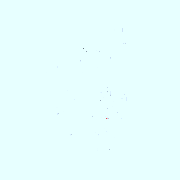 CC(C)(C)OC(=O)Nc1cc2c(-c3c4c(c5c(N6C7CCC6CN(C(=O)O)C7)ncnc5c3F)COC4)c(F)ccc2o1